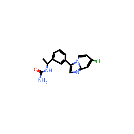 CC(NC(N)=O)c1cccc(-c2cnc3cc(Cl)ccn23)c1